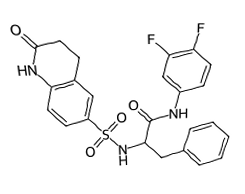 O=C1CCc2cc(S(=O)(=O)NC(Cc3ccccc3)C(=O)Nc3ccc(F)c(F)c3)ccc2N1